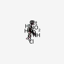 CCOP1(=O)CCC(CNc2ccc(S(=O)(=O)NC(=O)c3ccc(N4CCN(CC5=C(c6ccc(Cl)cc6)CC(C)(C)CC5)CC4)cc3N3CCOc4nc5[nH]ccc5cc43)cc2[N+](=O)[O-])CC1